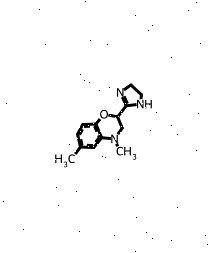 Cc1ccc2c(c1)N(C)CC(C1=NCCN1)O2